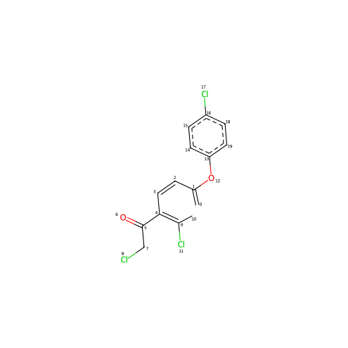 C=C(/C=C\C(C(=O)CCl)=C(/C)Cl)Oc1ccc(Cl)cc1